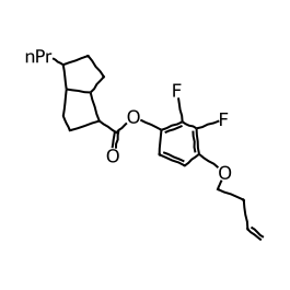 C=CCCOc1ccc(OC(=O)C2CCC3C(CCC)CCC23)c(F)c1F